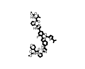 COC(=O)N[C@H](C(=O)N1CCC[C@H]1c1ncc(-c2cc(F)c3c(c2)OC(c2ccc(C(C)C)s2)n2c-3cc3cc(-c4cnc([C@@H]5CCCN5C(=O)[C@@H](NC(=O)OC)C5CCOCC5)[nH]4)ccc32)[nH]1)C(C)C